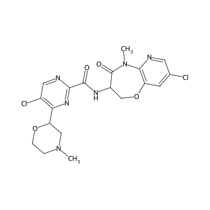 CN1CCOC(c2nc(C(=O)NC3COc4cc(Cl)cnc4N(C)C3=O)ncc2Cl)C1